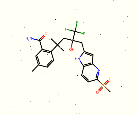 Cc1ccc(C(C)(C)CC(O)(Cc2cc3nc(S(C)(=O)=O)ccc3[nH]2)C(F)(F)F)c(C(N)=O)c1